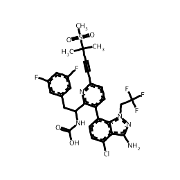 CC(C)(C#Cc1ccc(-c2ccc(Cl)c3c(N)nn(CC(F)(F)F)c23)c(C(Cc2cc(F)cc(F)c2)NC(=O)O)n1)S(C)(=O)=O